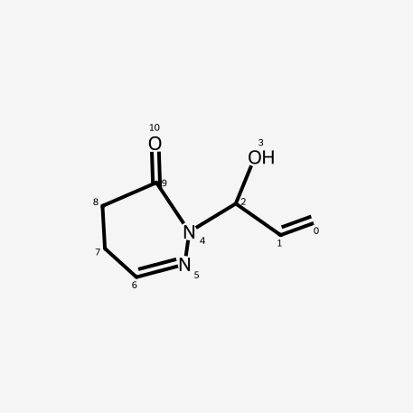 C=CC(O)N1N=CCCC1=O